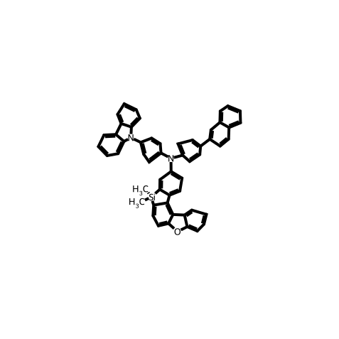 C[Si]1(C)c2cc(N(c3ccc(-c4ccc5ccccc5c4)cc3)c3ccc(-n4c5ccccc5c5ccccc54)cc3)ccc2-c2c1ccc1oc3ccccc3c21